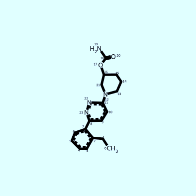 CCc1ccccc1-c1ccc(N2CCCC(OC(N)=O)C2)nn1